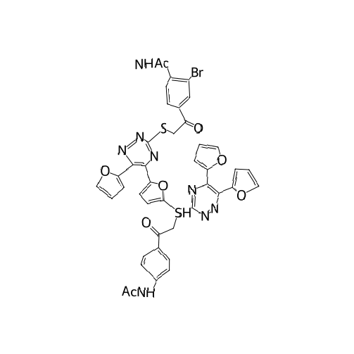 CC(=O)Nc1ccc(C(=O)C[SH](c2nnc(-c3ccco3)c(-c3ccco3)n2)c2ccc(-c3nc(SCC(=O)c4ccc(NC(C)=O)c(Br)c4)nnc3-c3ccco3)o2)cc1